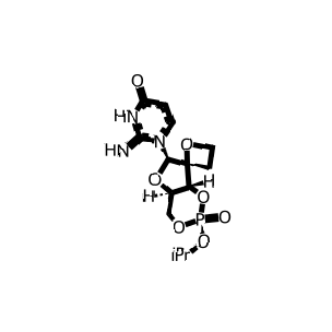 CC(C)O[P@@]1(=O)OC[C@H]2O[C@@H](n3ccc(=O)[nH]c3=N)[C@@]3(CCO3)[C@@H]2O1